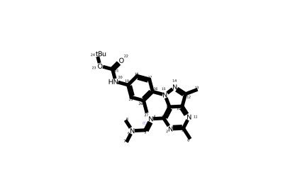 Cc1nc(/N=C/N(C)C)c2c(n1)c(C)nn2-c1ccc(NC(=O)OC(C)(C)C)cc1C